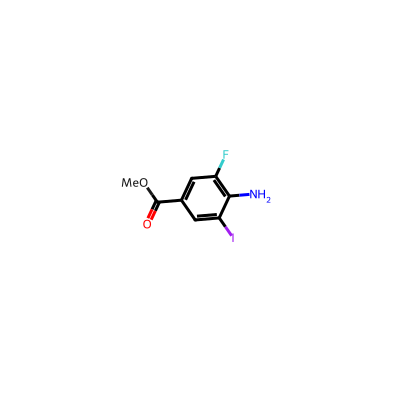 COC(=O)c1cc(F)c(N)c(I)c1